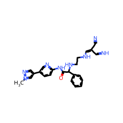 Cn1cc(-c2ccc(NC(=O)C(NCCN/C=C(/C#N)C=N)c3ccccc3)nc2)cn1